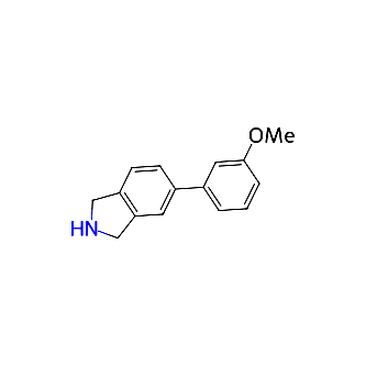 COc1cccc(-c2ccc3c(c2)CNC3)c1